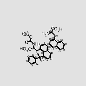 CC(C)(C)OC(=O)N[C@@H](Cc1cccc2cccc(C(C)(C)c3ccccc3)c12)C(=O)O.NC(Cc1cccc2ccccc12)C(=O)O